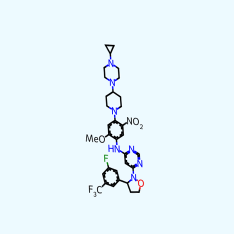 COc1cc(N2CCC(N3CCN(C4CC4)CC3)CC2)c([N+](=O)[O-])cc1Nc1cc(N2OCCC2c2cc(F)cc(C(F)(F)F)c2)ncn1